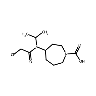 CC(C)N(C(=O)CCl)C1CCCN(C(=O)O)CC1